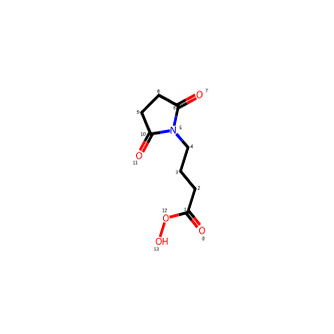 O=C(CCCN1C(=O)CCC1=O)OO